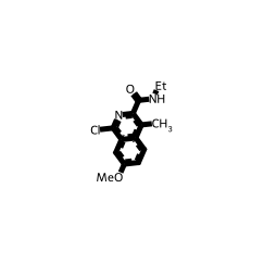 CCNC(=O)c1nc(Cl)c2cc(OC)ccc2c1C